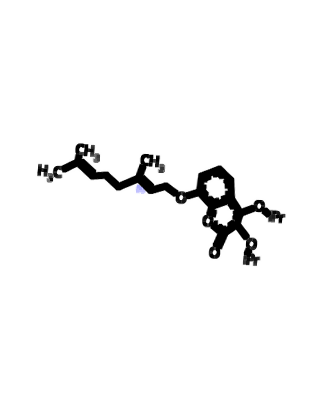 CC(C)=CCC/C(C)=C/COc1cccc2c(OC(C)C)c(OC(C)C)c(=O)oc12